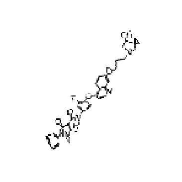 Cc1c(C(=O)Nc2ccc(Oc3ccnc4cc(OCCCN5CC(O)C6(CC6)C5)ccc34)c(F)c2)c(=O)n(-c2ccccc2)n1C